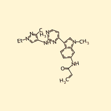 C=CC(=O)Nc1ccc2c(-c3ccnc(Nc4cn(CC)nc4C)n3)cn(C)c2c1